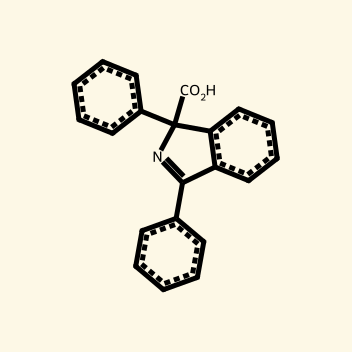 O=C(O)C1(c2ccccc2)N=C(c2ccccc2)c2ccccc21